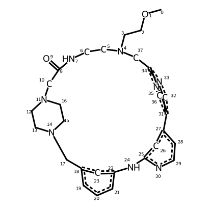 COCCN1CCNC(=O)CN2CCN(CC2)Cc2cccc(c2)Nc2cc(ccn2)-c2cnc(nc2)C1